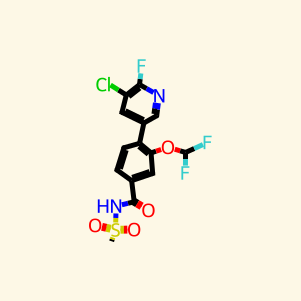 CS(=O)(=O)NC(=O)c1ccc(-c2cnc(F)c(Cl)c2)c(OC(F)F)c1